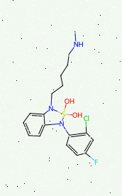 CNCCCCCN1c2ccccc2N(c2ccc(F)cc2Cl)S1(O)O